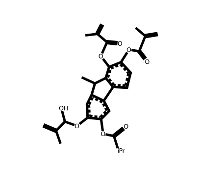 C=C(C)C(=O)Oc1ccc2c(c1OC(=O)C(=C)C)C(C)c1cc(OC(O)C(=C)C)c(OC(=O)C(C)C)cc1-2